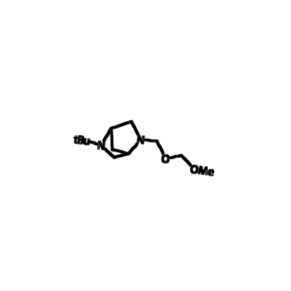 COCOCN1CC2CC1CN2C(C)(C)C